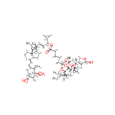 C=C1/C(=C\C=C2/CCC[C@@]3(C)C2CCC3[C@@H](C)/C=C/C(OC(=O)CCCCC(=O)O[C@@H]2[C@@]3(C(C)C)O[C@H]3C[C@]3(O)[C@]24O[C@H]4C[C@H]2C4=C(CC[C@@]23C)C(=O)OC4)C2CC2)C[C@@H](O)C[C@@H]1O